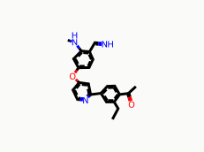 CCc1cc(-c2cc(Oc3ccc(C=N)c(NC)c3)ccn2)ccc1C(C)=O